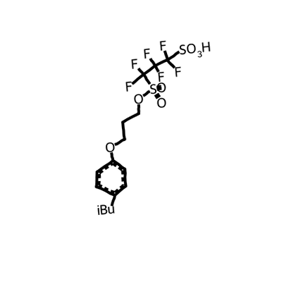 CCC(C)c1ccc(OCCCOS(=O)(=O)C(F)(F)C(F)(F)C(F)(F)S(=O)(=O)O)cc1